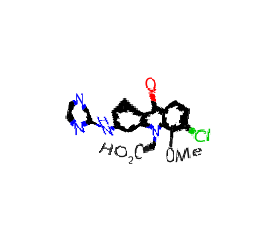 COc1c(Cl)ccc2c(=O)c3ccc(Nc4cnccn4)cc3n(CC(=O)O)c12